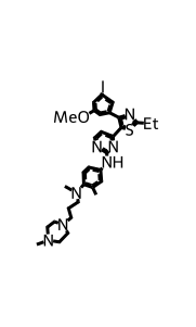 CCc1nc(-c2cc(I)cc(OC)c2)c(-c2ccnc(Nc3ccc(N(C)CCCN4CCN(C)CC4)c(C)c3)n2)s1